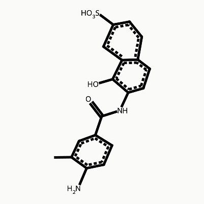 Cc1cc(C(=O)Nc2ccc3ccc(S(=O)(=O)O)cc3c2O)ccc1N